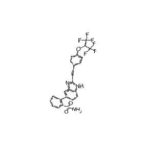 NS(=O)(=O)c1ccccc1-c1ccc2[nH]c(C#Cc3ccc(OC(C(F)(F)F)C(F)(F)F)cc3)nc2c1